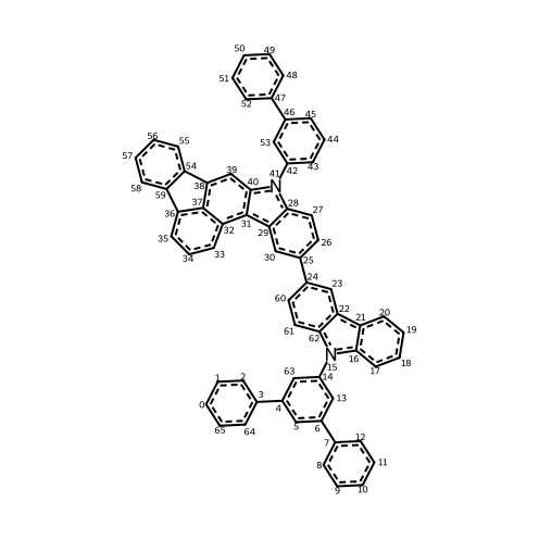 c1ccc(-c2cc(-c3ccccc3)cc(-n3c4ccccc4c4cc(-c5ccc6c(c5)c5c7cccc8c7c(cc5n6-c5cccc(-c6ccccc6)c5)-c5ccccc5-8)ccc43)c2)cc1